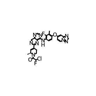 Cc1c(Oc2ccn3ncnc3c2)ccc(Nc2ncnc3cnc(C4=C[C@H](C)N(C(=O)C(F)Cl)CC4)nc23)c1F